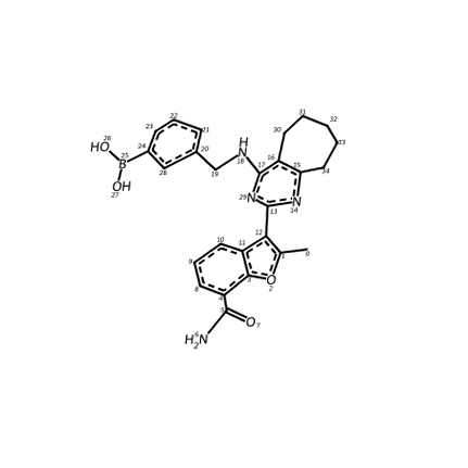 Cc1oc2c(C(N)=O)cccc2c1-c1nc2c(c(NCc3cccc(B(O)O)c3)n1)CCCCC2